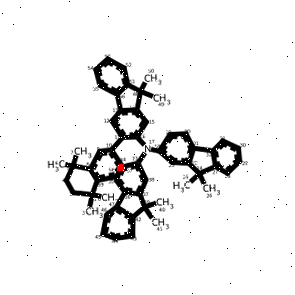 CC1(C)CCC(C)(C)c2cc(-c3cc4c(cc3N(c3ccc5c(c3)C(C)(C)c3ccccc3-5)c3ccc5c(c3)C(C)(C)c3ccccc3-5)C(C)(C)c3ccccc3-4)ccc21